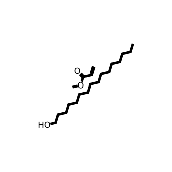 C=CC(=O)OC.CCCCCCCCCCCCCCCCO